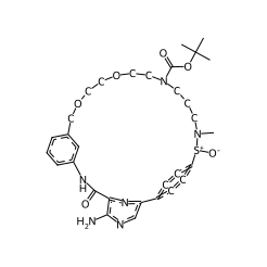 CN1CCCN(C(=O)OC(C)(C)C)CCOCCOCc2cccc(c2)NC(=O)c2nc(cnc2N)-c2ccc(cc2)[S+]1[O-]